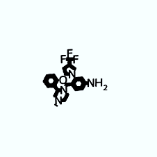 CN1CCN(C(=O)c2ccc(N)cc2N2CCC(C(F)(F)F)C2)C(c2ccccc2)C1